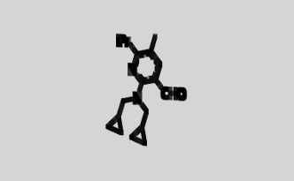 Cc1cc(C=O)c(N(CC2CC2)CC2CC2)nc1C(C)C